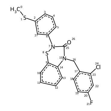 CSc1cccc(N2Sc3ccccc3N(Cc3ccc(F)cc3Cl)C2=O)c1